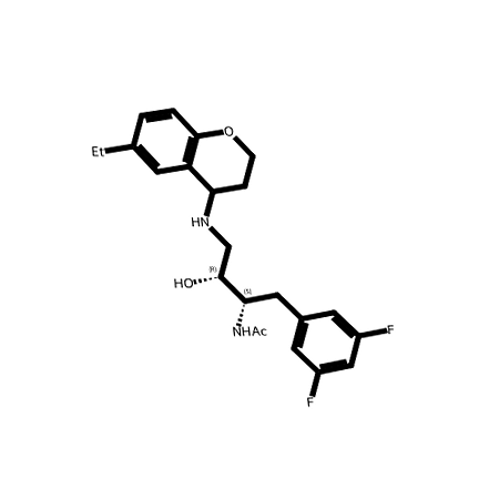 CCc1ccc2c(c1)C(NC[C@@H](O)[C@H](Cc1cc(F)cc(F)c1)NC(C)=O)CCO2